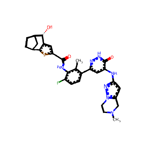 Cc1c(-c2cc(Nc3cc4n(n3)CCN(C)C4)c(=O)[nH]n2)ccc(F)c1NC(=O)c1cc2c(s1)C1CCC(C1)[C@@H]2O